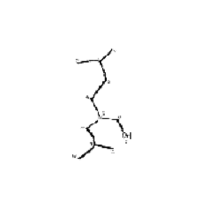 CC(C)CCN(CO)CC(C)C